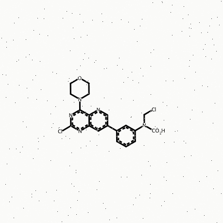 O=C(O)N(CCl)c1cccc(-c2cnc3c(N4CCOCC4)nc(Cl)nc3c2)c1